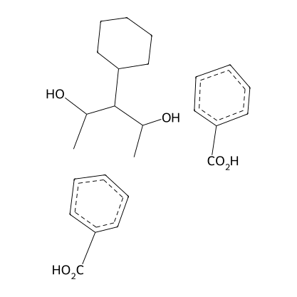 CC(O)C(C(C)O)C1CCCCC1.O=C(O)c1ccccc1.O=C(O)c1ccccc1